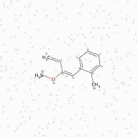 C=C/C(=C\c1ccccc1C)O[SiH3]